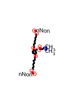 CCCCCCCCCC(=O)OCCCCCCCCOc1ccc(OCCCCCCCCOC(=O)CCCCCCCCC)c(COC(=O)CCN(C)C)c1